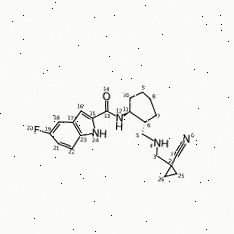 N#CC1(CNC[C@H]2CCCC[C@@H]2NC(=O)c2cc3cc(F)ccc3[nH]2)CC1